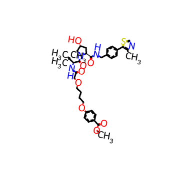 COC(=O)c1ccc(OCCCCOCC(=O)N[C@H](C(=O)N2C[C@H](O)C[C@H]2C(=O)NCc2ccc(-c3scnc3C)cc2)C(C)(C)C)cc1